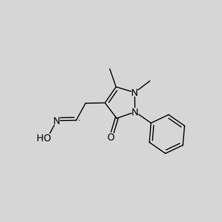 Cc1c(C[C]=NO)c(=O)n(-c2ccccc2)n1C